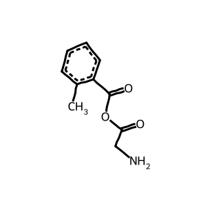 Cc1ccccc1C(=O)OC(=O)CN